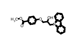 COC(=O)c1ccc(OCC(O)Cn2c3ccccc3c3ccccc32)cc1